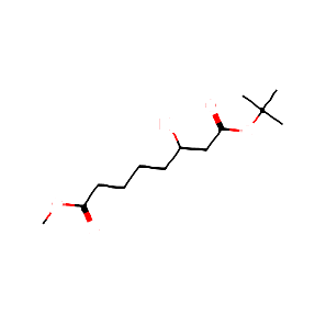 COC(=O)CCCCC(O)CC(=O)OC(C)(C)C